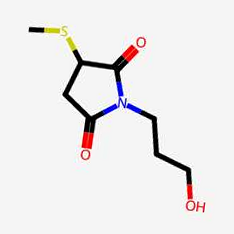 CSC1CC(=O)N(CCCO)C1=O